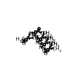 C=CCN(c1ccc(C#N)c(C(F)(F)F)c1)C1CCCC1.CCCCN(CCC)c1ccc(C#N)c(C(F)(F)F)c1.CCCCN(CCCC)c1ccc([N+](=O)[O-])c(C)c1.CCCN(CCOC)c1ccc(C#N)c(C(F)(F)F)c1.CCCN(CCOC)c1ccc([N+](=O)[O-])c(C#N)c1